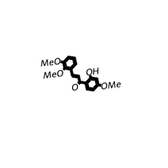 COc1ccc(C(=O)/C=C/c2cccc(OC)c2OC)c(O)c1